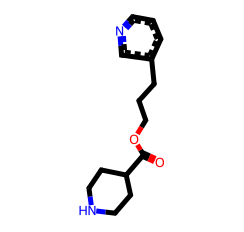 O=C(OCCCc1cccnc1)C1CCNCC1